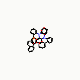 c1ccc(-c2ccccc2N(c2ccccc2)c2ccc3c(sc4ccc5ccccc5c43)c2N(c2ccccc2)c2ccccc2-c2ccccc2)cc1